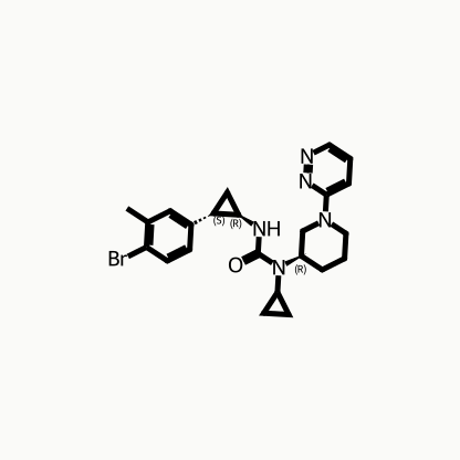 Cc1cc([C@@H]2C[C@H]2NC(=O)N(C2CC2)[C@@H]2CCCN(c3cccnn3)C2)ccc1Br